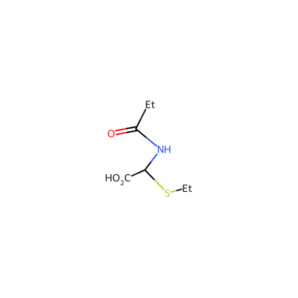 CCSC(NC(=O)CC)C(=O)O